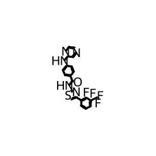 O=C(Nc1nc(-c2cccc(C(F)(F)F)c2F)cs1)c1ccc(Nc2cnccn2)cc1